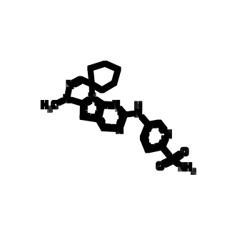 CN1N=CC2(CCCCC2)n2c1cc1cnc(Nc3ccc(S(N)(=O)=O)nc3)nc12